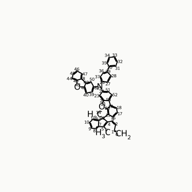 C=C/C=C\C1=C(C)c2ccccc2C1(C)c1cccc2c1oc1cc(N(c3ccc(-c4ccccc4)cc3)c3ccc4oc5ccccc5c4c3)ccc12